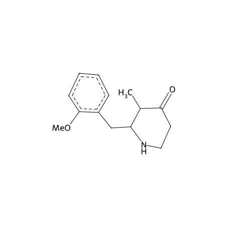 COc1ccccc1CC1NCCC(=O)C1C